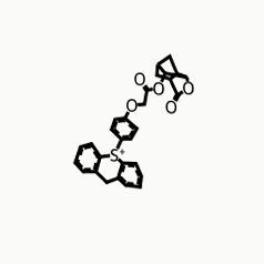 O=C(COc1ccc([S+]2c3ccccc3Cc3ccccc32)cc1)OC1C2CC3C(=O)OC1C3C2